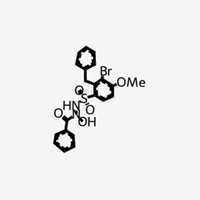 COc1ccc(S(=O)(=O)NN(O)C(=O)c2ccccc2)c(Cc2ccccc2)c1Br